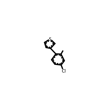 Cc1cc(Cl)ccc1-c1ccsc1